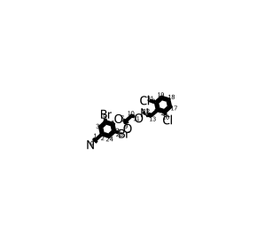 N#Cc1cc(Br)c(OC(=O)CON=Cc2c(Cl)cccc2Cl)c(Br)c1